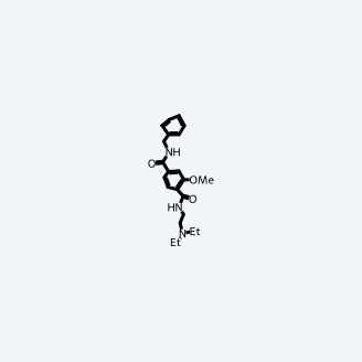 CCN(CC)CCNC(=O)c1ccc(C(=O)NCc2ccccc2)cc1OC